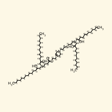 CCCCCCCCCCCCC(O)CN(CCCC(=O)OCCN1CCN(CCSSCCCN(CC(O)CCCCCCCCCC)CC(O)CCCCCCCCCC)CC1)CC(O)CCCCCCCCCCCC